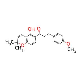 COc1ccc(CCC(=O)c2ccc3c(c2O)C=CC(C)(C)O3)cc1